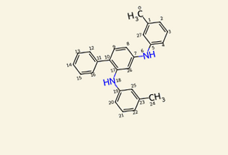 Cc1cccc(Nc2ccc(-c3ccccc3)c(Nc3cccc(C)c3)c2)c1